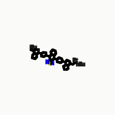 CCCCC(CC)Cc1ccc(-c2ccc(-c3c4ccccc4c(-c4ccc(-c5ccc(CC(C)CC)c6ccccc56)cc4)c4nsnc34)cc2)c2ccccc12